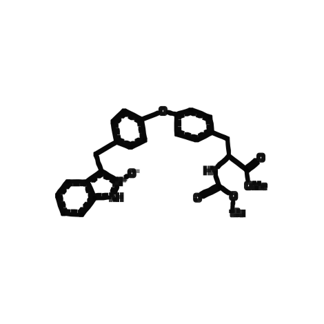 COC(=O)C(Cc1ccc(Oc2ccc(Cc3c4ccccc4[nH][n+]3[O-])cc2)cc1)NC(=O)OC(C)(C)C